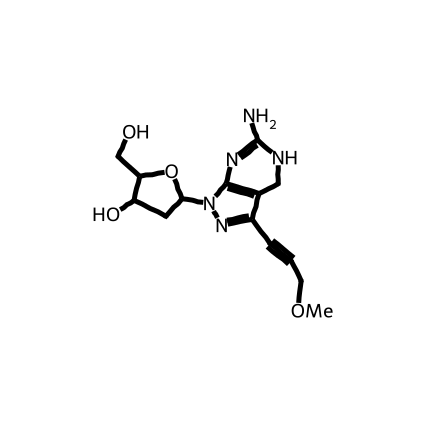 COCC#Cc1nn(C2CC(O)C(CO)O2)c2c1CNC(N)=N2